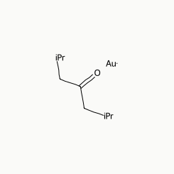 CC(C)CC(=O)CC(C)C.[Au]